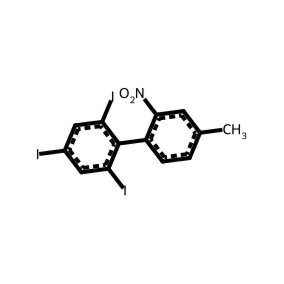 Cc1ccc(-c2c(I)cc(I)cc2I)c([N+](=O)[O-])c1